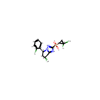 O=S(=O)(c1nc2n(n1)[C@H](c1ccccc1F)C[C@@H]2F)C1CC1(F)F